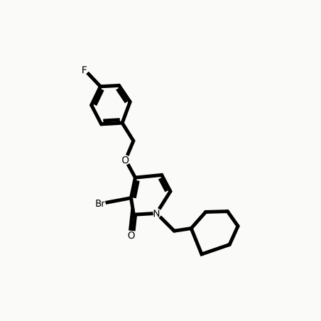 O=c1c(Br)c(OCc2ccc(F)cc2)ccn1CC1CCCCC1